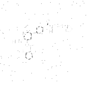 CC(Oc1cc(-c2ccc(C(=O)NCCCN3CCCC3)cc2)cnc1N)c1c(Cl)cccc1Cl